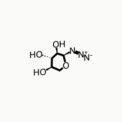 [N-]=[N+]=N[C@H]1OC[C@@H](O)[C@H](O)[C@H]1O